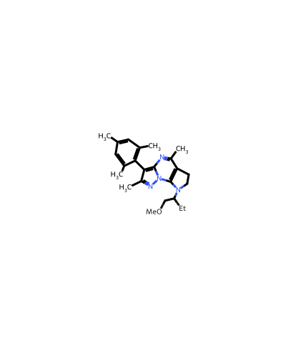 CCC(COC)N1CCc2c(C)nc3c(-c4c(C)cc(C)cc4C)c(C)nn3c21